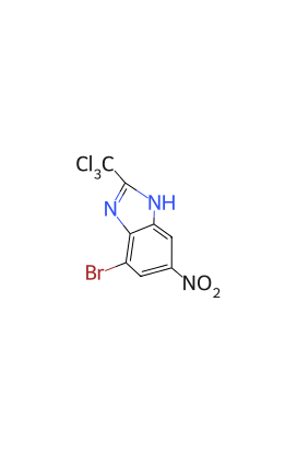 O=[N+]([O-])c1cc(Br)c2nc(C(Cl)(Cl)Cl)[nH]c2c1